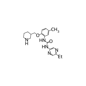 CCc1cnc(NC(=O)Nc2cc(C)ccc2OCC2CCCNC2)cn1